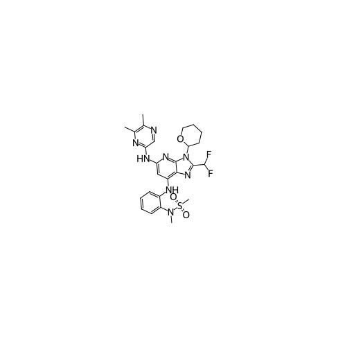 Cc1ncc(Nc2cc(Nc3ccccc3N(C)S(C)(=O)=O)c3nc(C(F)F)n(C4CCCCO4)c3n2)nc1C